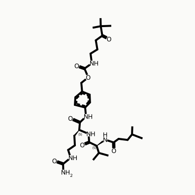 CC(C)CCC(=O)N[C@H](C(=O)N[C@@H](CCCNC(N)=O)C(=O)Nc1ccc(COC(=O)NCCCC(=O)C(C)(C)C)cc1)C(C)C